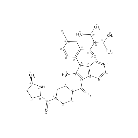 Cc1c(C(=O)C2CCN(C(=O)[C@@H]3CC[C@@H](C)N3)CC2)c2ccncc2n1-c1ccc(F)cc1C(=O)N(C(C)C)C(C)C